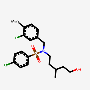 COc1ccc(CN(CCC(C)CCO)S(=O)(=O)c2ccc(Cl)cc2)cc1F